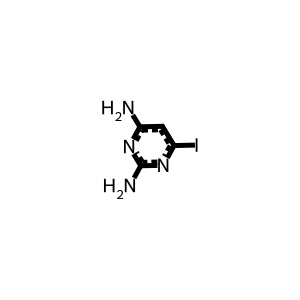 Nc1cc(I)nc(N)n1